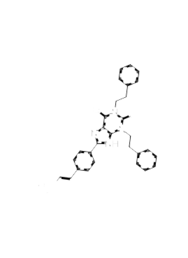 O=C(O)C=Cc1ccc(-c2nc3c(=O)n(CCc4ccccc4)c(=O)n(CCc4ccccc4)c3[nH]2)cc1